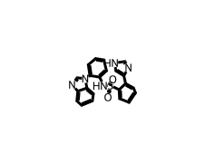 O=S(=O)(Nc1ccccc1-n1cnc2ccccc21)c1ccccc1-c1c[nH]cn1